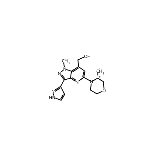 C[C@@H]1COCCN1c1cc(CO)c2c(n1)c(-c1cc[nH]n1)nn2C